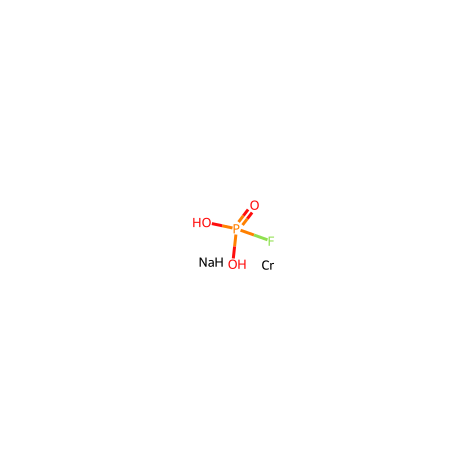 O=P(O)(O)F.[Cr].[NaH]